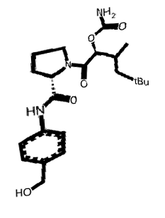 CC(CC(C)(C)C)[C@H](OC(N)=O)C(=O)N1CCC[C@H]1C(=O)Nc1ccc(CO)cc1